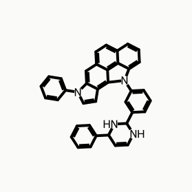 C1=CC(c2ccccc2)NC(c2cccc(-n3c4cccc5ccc6cc7c(ccn7-c7ccccc7)c3c6c54)c2)N1